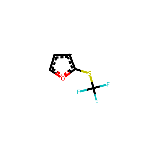 FC(F)(F)Sc1[c]cco1